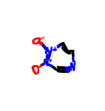 [O-][n+]1ccnc[n+]1[O-]